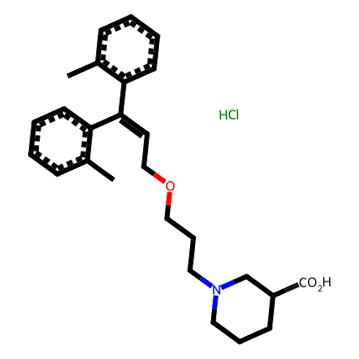 Cc1ccccc1C(=CCOCCCN1CCCC(C(=O)O)C1)c1ccccc1C.Cl